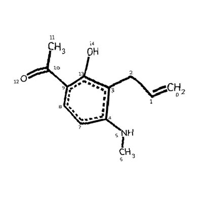 C=CCc1c(NC)ccc(C(C)=O)c1O